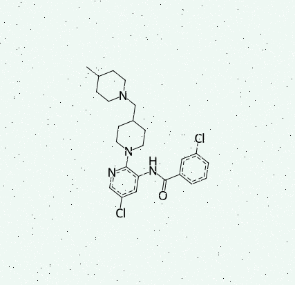 CC1CCN(CC2CCN(c3ncc(Cl)cc3NC(=O)c3cccc(Cl)c3)CC2)CC1